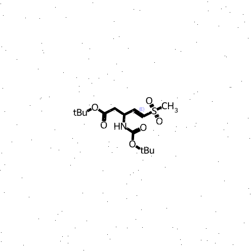 CC(C)(C)OC(=O)CC(/C=C/S(C)(=O)=O)NC(=O)OC(C)(C)C